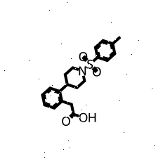 Cc1ccc(S(=O)(=O)N2CCC(c3ccccc3CC(=O)O)CC2)cc1